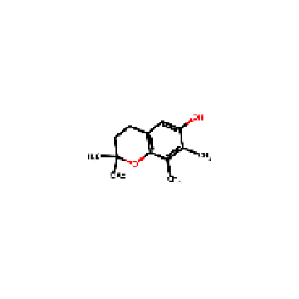 CC(=O)OC1(C)CCc2cc(O)c(C)c(C)c2O1